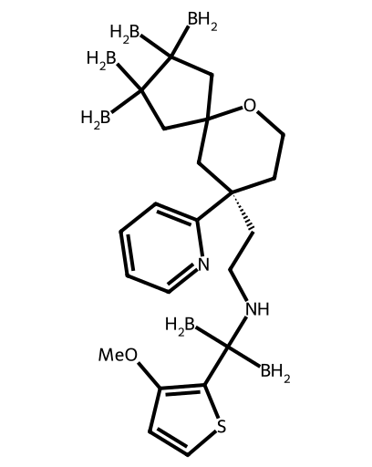 BC(B)(NCC[C@@]1(c2ccccn2)CCOC2(CC(B)(B)C(B)(B)C2)C1)c1sccc1OC